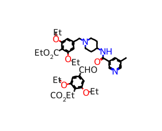 CCOC(=O)c1c(OCC)cc(C=O)cc1OCC.CCOC(=O)c1c(OCC)cc(CN2CCC(NC(=O)c3cncc(C)c3)CC2)cc1OCC